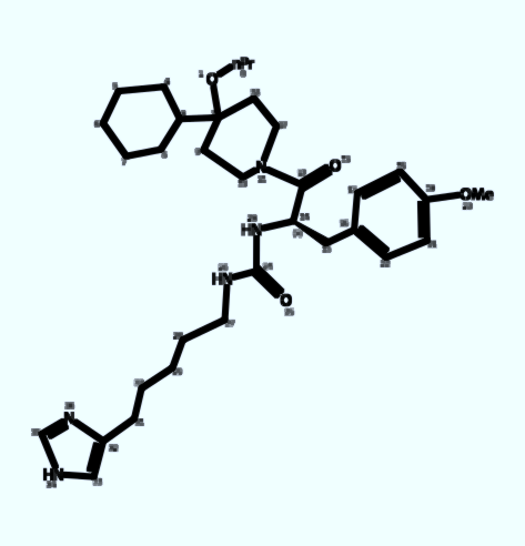 CCCOC1(C2CCCCC2)CCN(C(=O)[C@@H](Cc2ccc(OC)cc2)NC(=O)NCCCCCc2c[nH]cn2)CC1